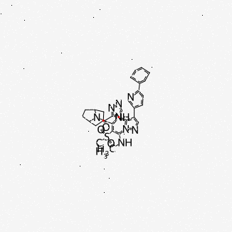 CNc1c(S(C)(=O)=O)c(C2CC3CCC(C2)N3C(=O)c2nnc[nH]2)nc2c(-c3ccc(-c4ccccc4)nc3)cnn12